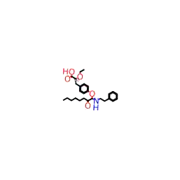 CCCCCCC(=O)C(NCCc1ccccc1)Oc1ccc(C[C@H](OCC)C(=O)O)cc1